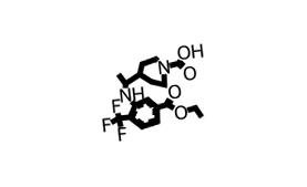 CCOC(=O)c1ccc(C(F)(F)F)c(NC(C)C2CCN(C(=O)O)CC2)c1